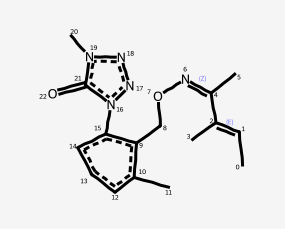 C/C=C(C)/C(C)=N\OCc1c(C)cccc1-n1nnn(C)c1=O